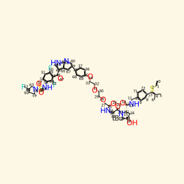 C=CSC(=C(C)C)c1ccc(CNC(=O)[C@@H]2C[C@@H](O)CN2C(=O)[C@@H](NC(=O)COCCOCCOc2ccc(-c3cnc4[nH]cc(C(=O)c5c(F)ccc(NS(=O)(=O)N6CC[C@@H](F)C6)c5F)c4c3)cc2)C(C)(C)C)cc1